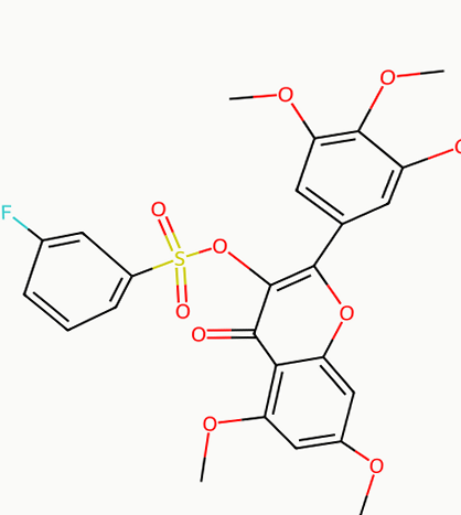 COc1cc(OC)c2c(=O)c(OS(=O)(=O)c3cccc(F)c3)c(-c3cc(OC)c(OC)c(OC)c3)oc2c1